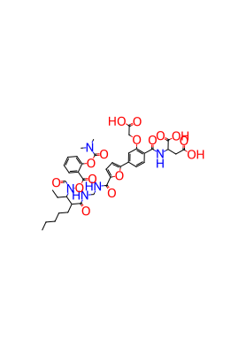 CCCCCC(C(=O)NCNC(=O)c1ccc(-c2ccc(C(=O)NC(CC(=O)O)C(=O)O)c(OCC(=O)O)c2)o1)C(CC)N(C=O)OC(=O)c1ccccc1OC(=O)N(C)C